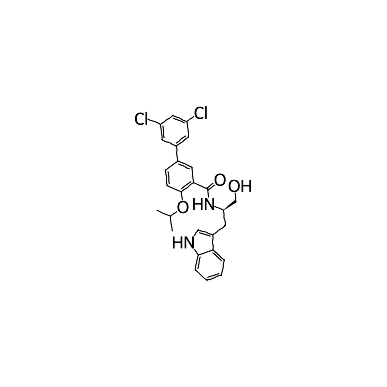 CC(C)Oc1ccc(-c2cc(Cl)cc(Cl)c2)cc1C(=O)N[C@@H](CO)Cc1c[nH]c2ccccc12